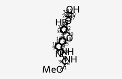 COC[C@@H]1CN[C@H](c2nc3ccc4cc5c(cc4c3[nH]2)OCc2cc(BOC(C)(C)C(C)(C)O)ccc2-5)C1